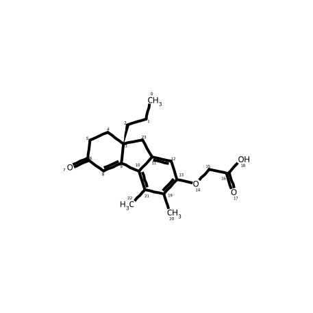 CCC[C@]12CCC(=O)C=C1c1c(cc(OCC(=O)O)c(C)c1C)C2